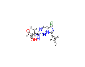 CC12CC(c3nc(Cl)c4cnc(N[C@@H]5CCOC[C@H]5O)nn34)(C1)C2